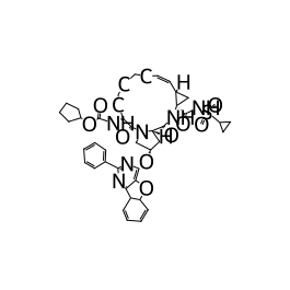 O=C(N[C@H]1CCCCC/C=C\[C@@H]2C[C@@]2(C(=O)NS(=O)(=O)C2CC2)NC(=O)[C@@H]2C[C@@H](Oc3nc(-c4ccccc4)nc4c3OC3C=CC=CC43)CN2C1=O)OC1CCCC1